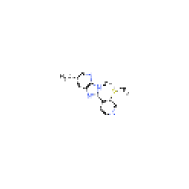 Cc1cnc2c(c1)nc(-c1ccncc1SC(F)(F)F)n2C